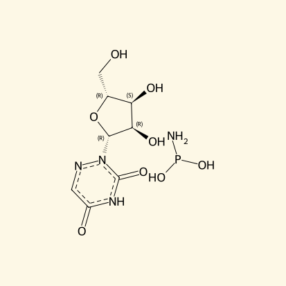 NP(O)O.O=c1cnn([C@@H]2O[C@H](CO)[C@@H](O)[C@H]2O)c(=O)[nH]1